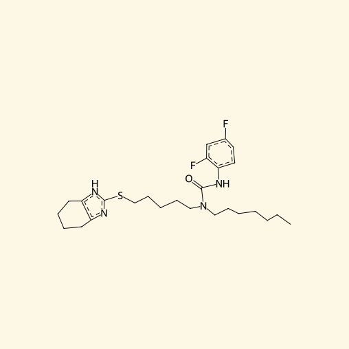 CCCCCCCN(CCCCCSc1nc2c([nH]1)CCCC2)C(=O)Nc1ccc(F)cc1F